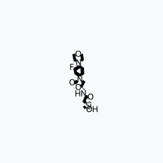 C[Si](C)(O)CC(=O)NC[C@H]1CN(c2ccc(N3CCOCC3)c(F)c2)C(=O)O1